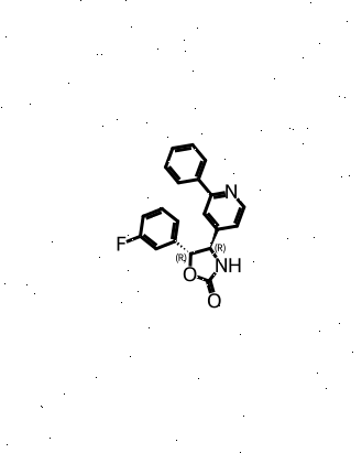 O=C1N[C@H](c2ccnc(-c3ccccc3)c2)[C@@H](c2cccc(F)c2)O1